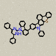 C1=C(c2ccccc2)N=C(n2c3ccccc3c3c(-c4ccc5c6c7cccc8c7c(cc6n(-c6ccccc6)c5c4)Sc4ccccc4-8)cccc32)NC1c1ccccc1